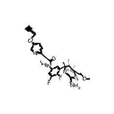 C#CCOc1ccc(C(=O)Nc2cc(F)c(F)c([C@@]3(C)N=C(N)S[C@](C)(COC)[C@H]3C)c2)nc1